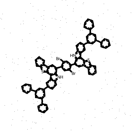 Brc1cc(-c2cc3c4ccccc4sc3c3c2[nH]c2ccc(-c4cc(-c5ccccc5)cc(-c5ccccc5)c4)cc23)c(Br)cc1-c1cc2c3ccccc3sc2c2c1[nH]c1ccc(-c3cc(-c4ccccc4)cc(-c4ccccc4)c3)cc12